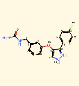 NC(=O)NCc1cccc(Oc2c[nH]nc2-c2ccc(F)cc2)c1